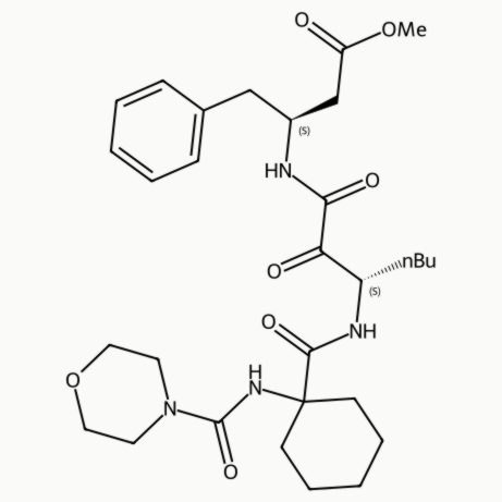 CCCC[C@H](NC(=O)C1(NC(=O)N2CCOCC2)CCCCC1)C(=O)C(=O)N[C@H](CC(=O)OC)Cc1ccccc1